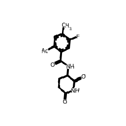 CC(=O)c1cc(C)c(F)cc1C(=O)NC1CCC(=O)NC1=O